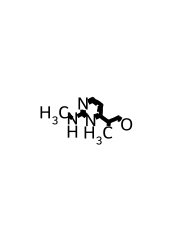 CNc1nccc(C(C)C=O)n1